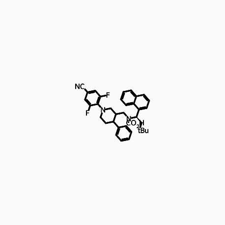 CC(C)(C)C[C@H](c1cccc2ccccc12)N(CC1CN(c2c(F)cc(C#N)cc2F)CCC1c1ccccc1)C(=O)O